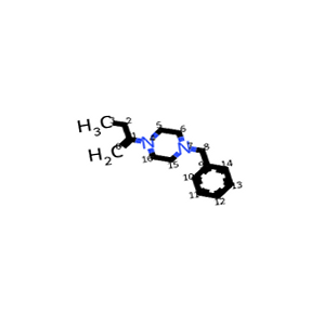 C=C(CC)N1CCN(Cc2ccccc2)CC1